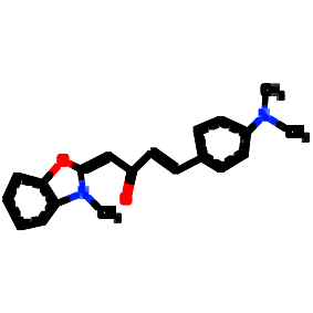 CN(C)c1ccc(C=CC(=O)C=C2Oc3ccccc3N2C)cc1